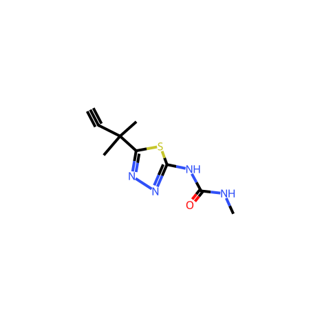 C#CC(C)(C)c1nnc(NC(=O)NC)s1